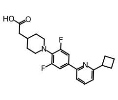 O=C(O)CC1CCN(c2c(F)cc(-c3cccc(C4CCC4)n3)cc2F)CC1